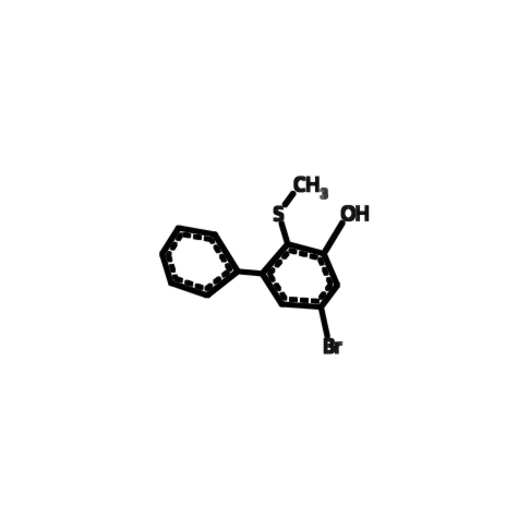 CSc1c(O)cc(Br)cc1-c1ccccc1